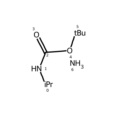 CC(C)NC(=O)OC(C)(C)C.N